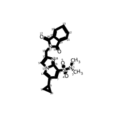 CN(C)S(=O)(=O)c1cc(C2CC2)cn2cc(CN3C(=O)c4ccccc4C3=O)nc12